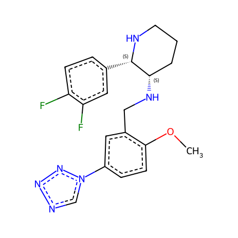 COc1ccc(-n2cnnn2)cc1CN[C@H]1CCCN[C@H]1c1ccc(F)c(F)c1